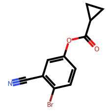 N#Cc1cc(OC(=O)C2CC2)ccc1Br